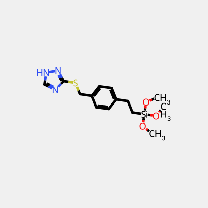 CO[Si](CCc1ccc(CSc2nc[nH]n2)cc1)(OC)OC